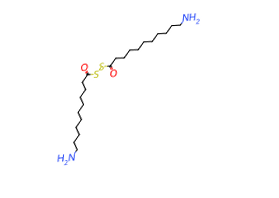 NCCCCCCCCCCC(=O)SSC(=O)CCCCCCCCCCN